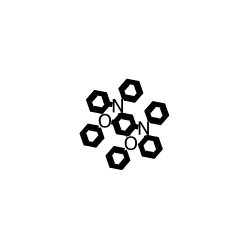 C1=CCC(N(c2ccccc2)c2cc(N(c3ccccc3)c3ccccc3)c(Oc3ccccc3)cc2Oc2ccccc2)C=C1